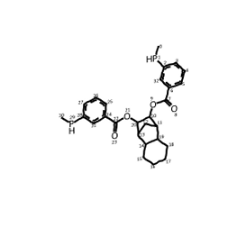 CPc1cccc(C(=O)OC2C3CC(C4CCCCC43)C2OC(=O)c2cccc(PC)c2)c1